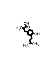 C=C(Cc1ccc(O)c(CCC(C)C)c1)C(=O)O